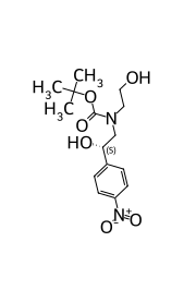 CC(C)(C)OC(=O)N(CCO)C[C@@H](O)c1ccc([N+](=O)[O-])cc1